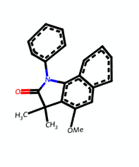 COc1cc2ccccc2c2c1C(C)(C)C(=O)N2c1ccccc1